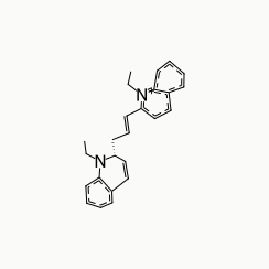 CCN1c2ccccc2C=C[C@H]1CC=Cc1ccc2ccccc2[n+]1CC